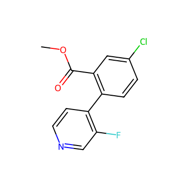 COC(=O)c1cc(Cl)ccc1-c1ccncc1F